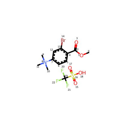 COC(=O)c1ccc([N+](C)(C)C)cc1Br.O=S(=O)(O)C(F)(F)F